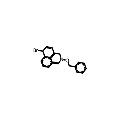 BrC1C=CC2=c3c1cccc3=CN(OCc1ccccc1)C2